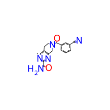 N#Cc1cccc(C(=O)N2CCc3[c]nc(C(N)=O)nc3C2)c1